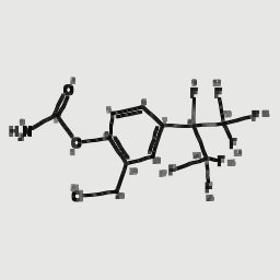 NC(=O)Oc1ccc(C(F)(C(F)(F)F)C(F)(F)F)cc1CCl